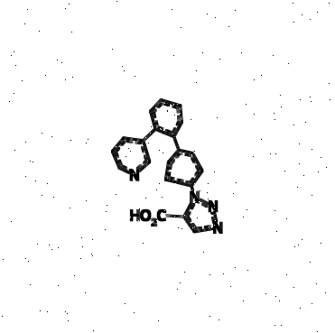 O=C(O)c1cnnn1-c1ccc(-c2ccccc2-c2cccnc2)cc1